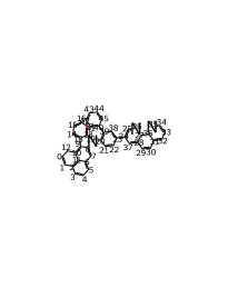 C1=Cc2cccc3cc4c(c(c23)C1)c1ccccc1n4-c1ccc(-c2cnc3c(ccc4cccnc43)c2)cc1-c1ccccc1